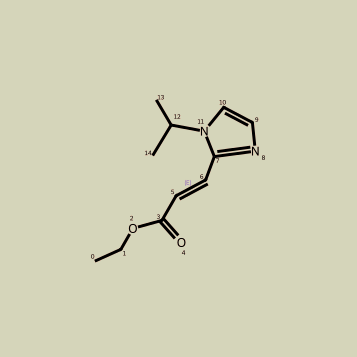 CCOC(=O)/C=C/c1nccn1C(C)C